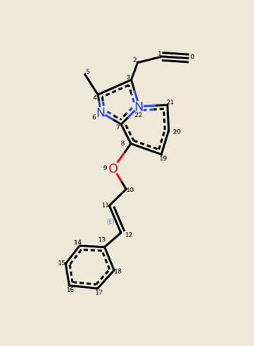 C#CCc1c(C)nc2c(OC/C=C/c3ccccc3)cccn12